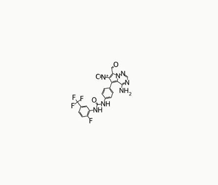 [C-]#[N+]c1c(-c2ccc(NC(=O)Nc3cc(C(F)(F)F)ccc3F)cc2)c2c(N)ncnn2c1C=O